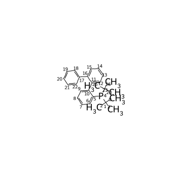 CC(C)(C)P(c1ccccc1-c1ccccc1-c1ccccc1)C(C)(C)C